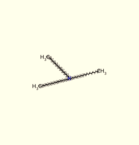 CCCCCCCCCCCCCCCCCCCCN(CCCCCCCCCCCCCCCCCCCC)CCCCCCCCCCCCCCCCCCCC